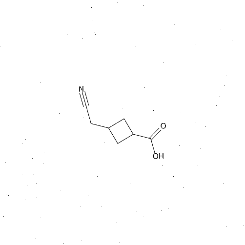 N#CCC1CC(C(=O)O)C1